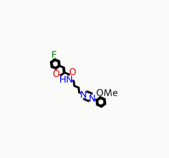 COc1ccccc1N1CCN(CCCCNC(=O)C2=Cc3cc(F)ccc3OC2)CC1